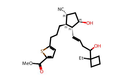 CCC1(C(O)CC=C[C@@H]2[C@@H](CCCc3ccc(C(=O)OC)s3)[C@H](C#N)C[C@H]2O)CCC1